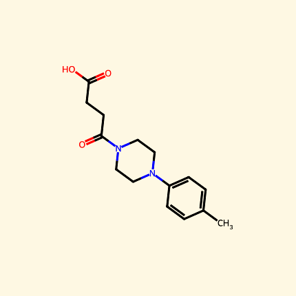 Cc1ccc(N2CCN(C(=O)CCC(=O)O)CC2)cc1